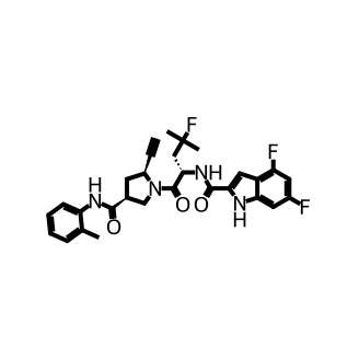 C#C[C@@H]1C[C@H](C(=O)Nc2ccccc2C)CN1C(=O)[C@H](CC(C)(C)F)NC(=O)c1cc2c(F)cc(F)cc2[nH]1